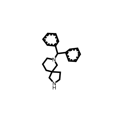 c1ccc(C(c2ccccc2)N2CCCC3(CCNC3)C2)cc1